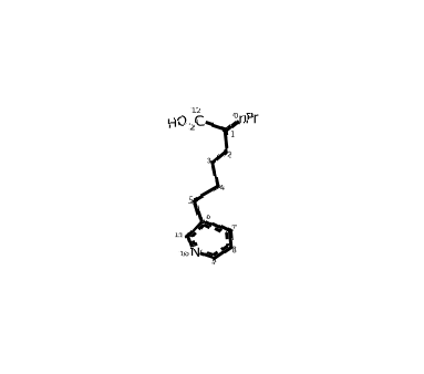 CCCC(CCCCc1cccnc1)C(=O)O